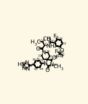 CC(C)[C@@H](NC(=O)c1cc(OC(F)(F)F)ccc1F)C(=O)N1CCC2(CC1)C(=O)N(C)C(=O)N2c1ccc(-c2nn[nH]n2)cc1